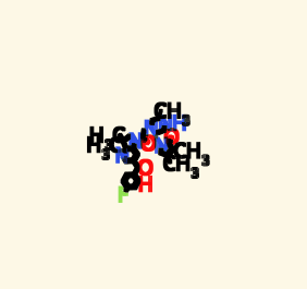 CC1=C(C)C(=O)N(C[C@H]2CN[C@H](C)CN2CC(=O)N2CC(C)(C)c3ncc([C@H](O)c4ccc(F)cc4)cc32)C1